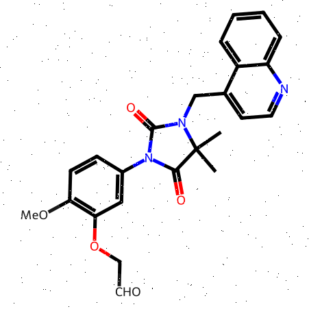 COc1ccc(N2C(=O)N(Cc3ccnc4ccccc34)C(C)(C)C2=O)cc1OCC=O